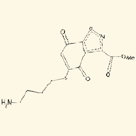 COC(=O)c1noc2c1C(=O)C(SCCCCN)=CC2=O